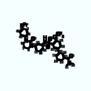 CCCc1ccc(N2CCCN(c3cccc(NS(=O)(=O)c4cc(-c5cccc(C(=O)N(C)C)c5)ccc4OC(F)(F)F)c3)C2=O)cc1